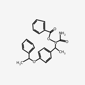 CC(Oc1ccc(C(C)N(OC(=O)c2ccccc2)C(N)=O)cc1)c1ccccc1